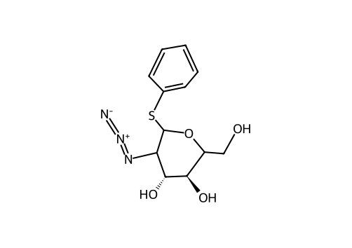 [N-]=[N+]=NC1C(Sc2ccccc2)OC(CO)[C@@H](O)[C@@H]1O